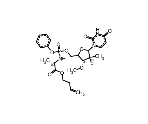 C=CCCOC(=O)[C@H](C)NP(=O)(OCC1OC(n2ccc(=O)[nH]c2=O)[C@](C)(F)[C@@H]1OC)Oc1ccccc1